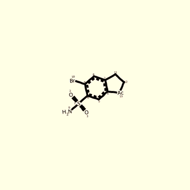 NS(=O)(=O)c1c[c]2c(cc1Br)C[CH2][Ac]2